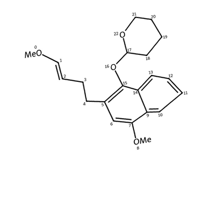 COC=CCCc1cc(OC)c2ccccc2c1OC1CCCCO1